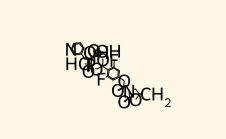 C=C1CN(C(=O)Oc2cc(F)c(C3OP(=O)(O)C(O)(Cc4cccnc4)P(=O)(O)O3)c(F)c2)C(=O)O1